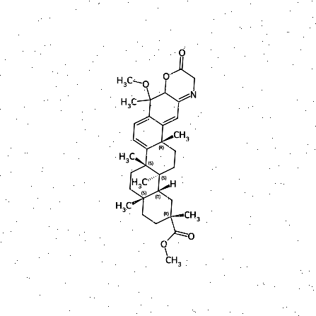 COC(=O)[C@]1(C)CC[C@]2(C)CC[C@]3(C)C4=CC=C5C(=CC6=NCC(=O)OC6C5(C)OC)[C@]4(C)CC[C@@]3(C)[C@@H]2C1